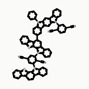 N#Cc1ccc(C#N)c(-n2c3ccccc3c3cc4c(cc32)c2cc(-c3cc5c6ccccc6n(-c6cc(C#N)cc(-n7c8ccccc8c8ccc9c%10ccccc%10oc9c87)c6C#N)c5c5oc6ccccc6c35)ccc2n4-c2ccccc2)c1